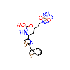 NS(=O)(=O)NCCCCC(NC(=O)O)c1csc(-c2csc3ccccc23)n1